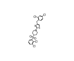 O=S(=O)(c1cccc(Cl)c1Cl)C1CCN(c2nc(Cc3ccc(Cl)cc3Cl)cs2)CC1